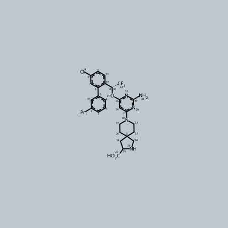 CC(C)c1cccc(-c2cc(Cl)ccc2[C@@H](Oc2cc(N3CCC4(CC3)CNC(C(=O)O)C4)nc(N)n2)C(F)(F)F)c1